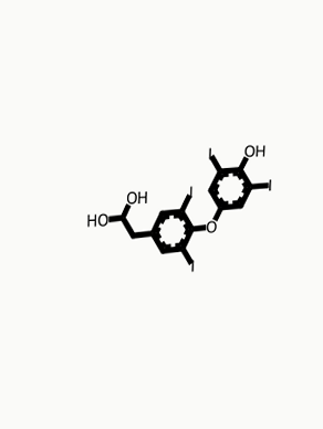 Oc1c(I)cc(Oc2c(I)cc(CC(O)O)cc2I)cc1I